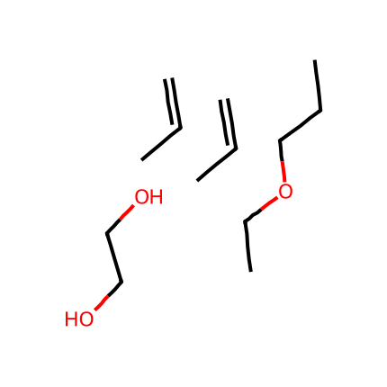 C=CC.C=CC.CCCOCC.OCCO